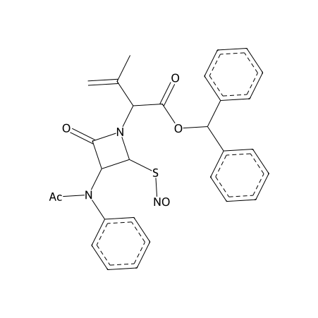 C=C(C)C(C(=O)OC(c1ccccc1)c1ccccc1)N1C(=O)C(N(C(C)=O)c2ccccc2)C1SN=O